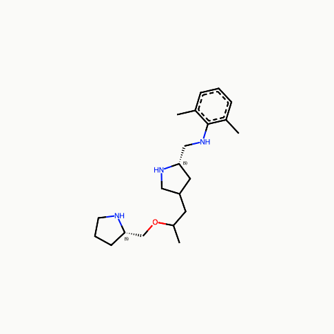 Cc1cccc(C)c1NC[C@@H]1CC(CC(C)OC[C@@H]2CCCN2)CN1